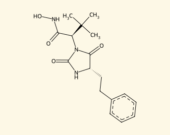 CC(C)(C)[C@H](C(=O)NO)N1C(=O)N[C@@H](CCc2ccccc2)C1=O